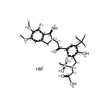 Br.COc1cc2c(c(F)c1OC)C(=N)N(CC(=O)c1cc(CN(CC(=O)O)S(C)(=O)=O)c(O)c(C(C)(C)C)c1)C2